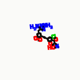 COc1cc(Cc2cnc(N)nc2N)cc(C#Cc2ccc(C(=O)C(=CN(C)C)C(=O)O)c(Cl)c2)c1OC